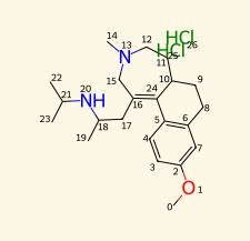 COc1ccc2c(c1)CCC1CCN(C)CC(CC(C)NC(C)C)=C21.Cl.Cl